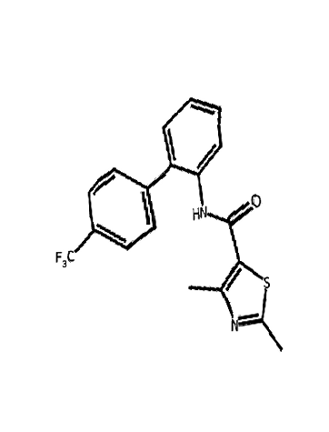 Cc1nc(C)c(C(=O)Nc2ccccc2-c2ccc(C(F)(F)F)cc2)s1